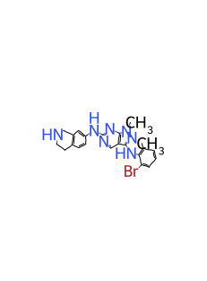 Cc1cccc(Br)c1Nc1nn(C)c2nc(Nc3ccc4c(c3)CNCC4)ncc12